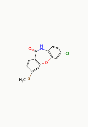 CSc1ccc2c(c1)Oc1cc(Cl)ccc1NC2=O